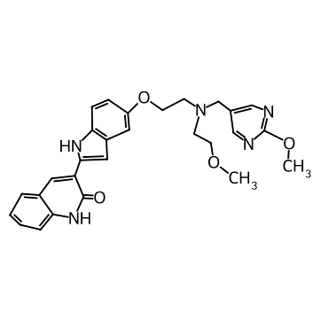 COCCN(CCOc1ccc2[nH]c(-c3cc4ccccc4[nH]c3=O)cc2c1)Cc1cnc(OC)nc1